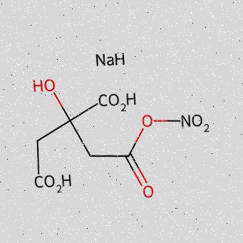 O=C(O)CC(O)(CC(=O)O[N+](=O)[O-])C(=O)O.[NaH]